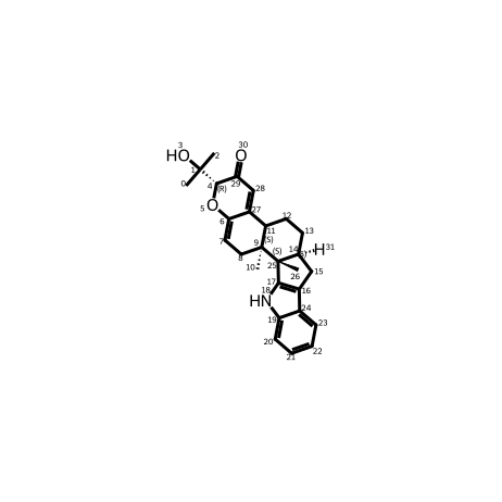 CC(C)(O)[C@H]1OC2=CC[C@@]3(C)C(CC[C@H]4Cc5c([nH]c6ccccc56)[C@@]43C)C2=CC1=O